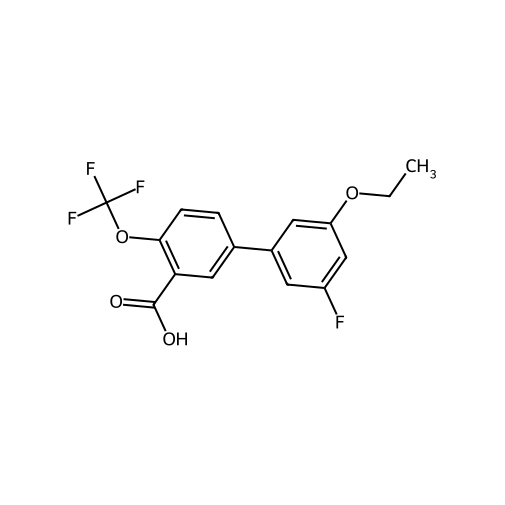 CCOc1cc(F)cc(-c2ccc(OC(F)(F)F)c(C(=O)O)c2)c1